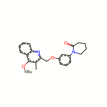 CCCCOc1c(C)c(COc2cccc(N3CCCCC3=O)c2)nc2ccccc12